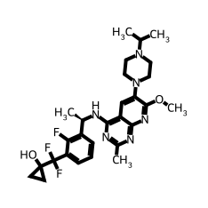 COc1nc2nc(C)nc(N[C@H](C)c3cccc(C(F)(F)C4(O)CC4)c3F)c2cc1N1CCN(C(C)C)CC1